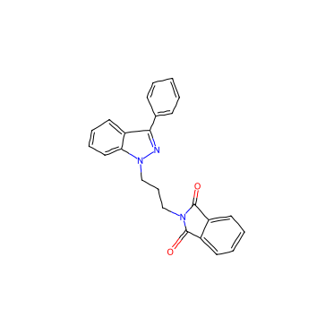 O=C1c2ccccc2C(=O)N1CCCn1nc(-c2ccccc2)c2ccccc21